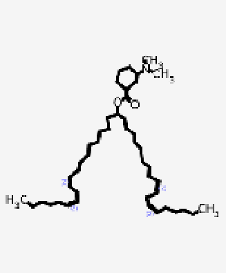 CCCCC/C=C\C/C=C\CCCCCCCCC(CCCCCCCC/C=C\C/C=C\CCCCC)OC(=O)C1CCCC(N(C)C)C1